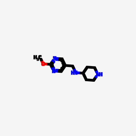 COc1ncc(CNC2CCNCC2)cn1